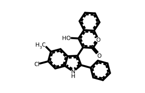 Cc1cc2c(-c3c(O)c4ccccc4oc3=O)c(-c3ccccc3)[nH]c2cc1Cl